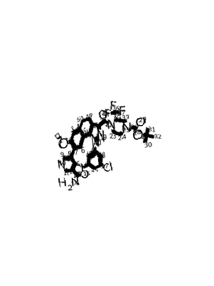 COc1cc2c(cc1-c1cncc(C(N)=O)c1)-c1c(c(C(=O)N3CCN(C(=O)OC(C)(C)C)C[C@H]3C(F)(F)F)nn1-c1cc(Cl)cc(Cl)c1)CC2